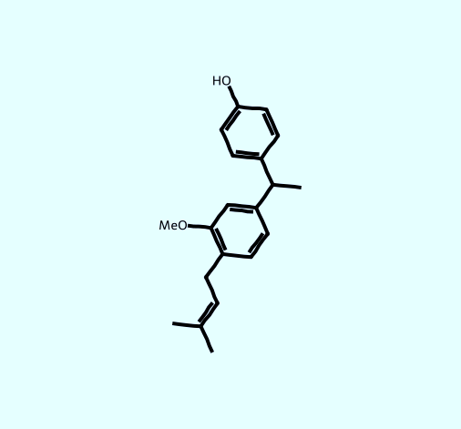 COc1cc(C(C)c2ccc(O)cc2)ccc1CC=C(C)C